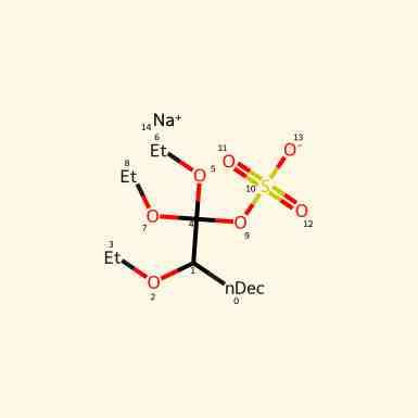 CCCCCCCCCCC(OCC)C(OCC)(OCC)OS(=O)(=O)[O-].[Na+]